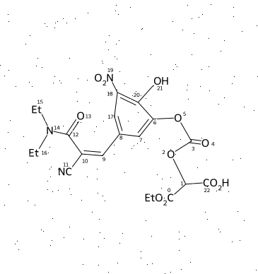 CCOC(=O)C(OC(=O)Oc1cc(C=C(C#N)C(=O)N(CC)CC)cc([N+](=O)[O-])c1O)C(=O)O